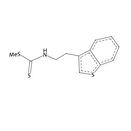 CSC(=S)NCCc1csc2ccccc12